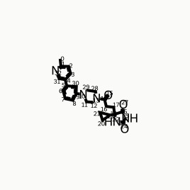 Cc1ccc(-c2cccc(N3CCN(C(=O)CCC4(C5CC5)NC(=O)NC4=O)CC3)c2)cn1